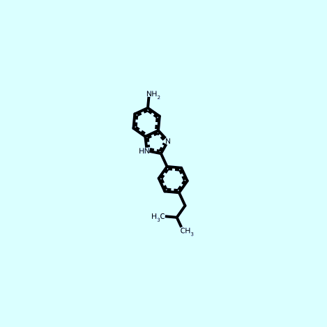 CC(C)Cc1ccc(-c2nc3cc(N)ccc3[nH]2)cc1